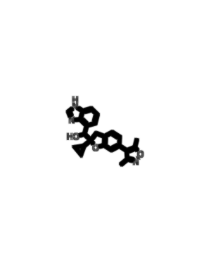 Cc1noc(C)c1-c1ccc2c(c1)OC(C1CC1)(C(O)c1cccc3[nH]cnc13)C2